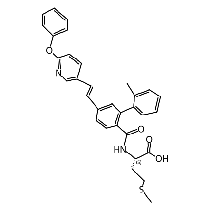 CSCC[C@H](NC(=O)c1ccc(C=Cc2ccc(Oc3ccccc3)nc2)cc1-c1ccccc1C)C(=O)O